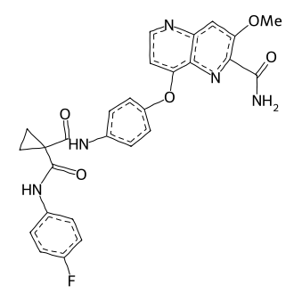 COc1cc2nccc(Oc3ccc(NC(=O)C4(C(=O)Nc5ccc(F)cc5)CC4)cc3)c2nc1C(N)=O